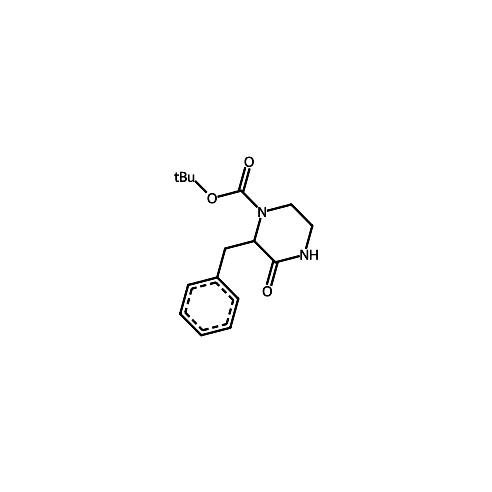 CC(C)(C)OC(=O)N1CCNC(=O)C1Cc1ccccc1